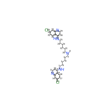 CN(CCCCCCNc1ccnc2cc(Cl)ccc12)CCCCCCNc1ccnc2cc(Cl)ccc12